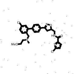 COCCN(C)Cc1ccc(Cl)cc1-c1ccc(C2=NOC(CNC(=O)c3ccc(Cl)s3)C2)cc1